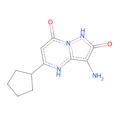 Nc1c(=O)[nH]n2c(=O)cc(C3CCCC3)[nH]c12